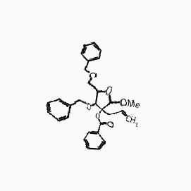 C=CCC1(OC(=O)c2ccccc2)C(OC)OC(COCc2ccccc2)C1OCc1ccccc1